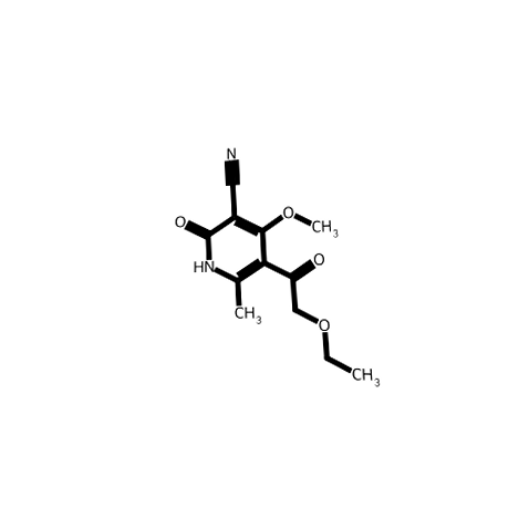 CCOCC(=O)c1c(C)[nH]c(=O)c(C#N)c1OC